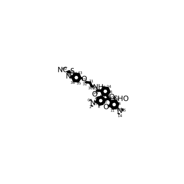 CN(C)c1ccc2c(c1)Oc1cc(N(C)C)ccc1C2(OC=O)c1cccc(C(=O)NCCCOc2ccc3nc(C#N)sc3c2)c1